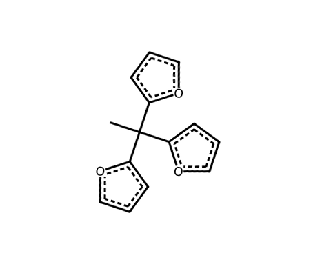 CC(c1ccco1)(c1ccco1)c1ccco1